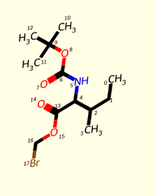 CCC(C)C(NC(=O)OC(C)(C)C)C(=O)OCBr